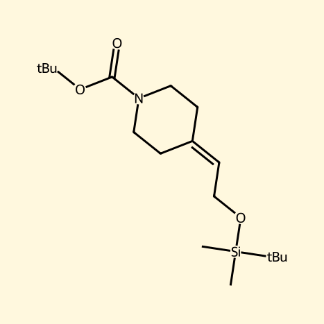 CC(C)(C)OC(=O)N1CCC(=CCO[Si](C)(C)C(C)(C)C)CC1